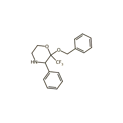 FC(F)(F)C1(OCc2ccccc2)OCCNC1c1ccccc1